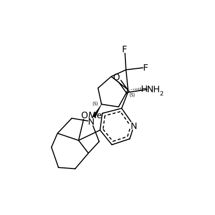 COC1(c2ccnc(C(N)=O)c2)C2CCCC1CN([C@H]1CC3[C@H](C1)C3(F)F)C2